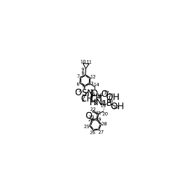 CN=S(C)(=O)c1ccc(C2CC2)cc1COC(=O)N[C@@H](Cc1coc2ccccc12)B(O)O